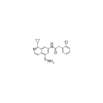 NSc1cc(NC(=O)Cc2ccccc2Cl)cc2c(C3CC3)nccc12